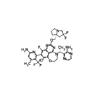 Cc1cc(N)nc(-c2c(Cl)c3c4c(nc(OC[C@]56CCCN5CC(F)(F)C6)nc4c2F)N([C@H](C)c2nccnc2N)CCO3)c1C(F)(F)F